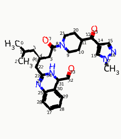 CC(C)C[C@@H](CC(=O)N1CCC(C(=O)c2cnn(C)c2)CC1)CC1=Nc2ccccc2C(C=O)N1